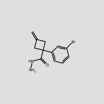 C=C1CC(C(=O)NN)(c2cccc(Br)c2)C1